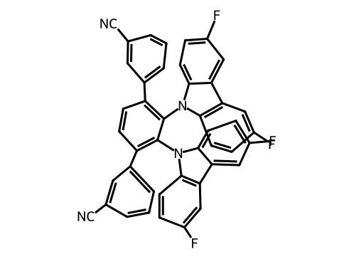 N#Cc1cccc(-c2ccc(-c3cccc(C#N)c3)c(-n3c4ccc(F)cc4c4cc(F)ccc43)c2-n2c3ccc(F)cc3c3cc(F)ccc32)c1